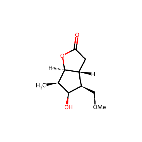 COC[C@H]1[C@@H](O)[C@@H](C)[C@H]2OC(=O)C[C@H]12